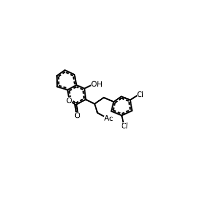 CC(=O)CC(Cc1cc(Cl)cc(Cl)c1)c1c(O)c2ccccc2oc1=O